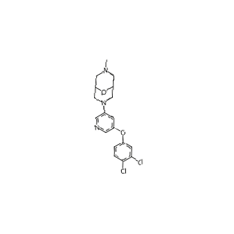 CN1CC2CN(c3cncc(Oc4ccc(Cl)c(Cl)c4)c3)CC(C1)O2